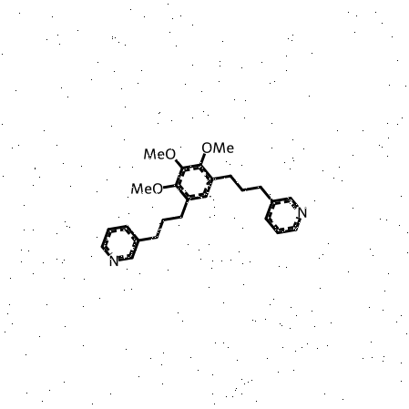 COc1c(CCCc2cccnc2)[c]c(CCCc2cccnc2)c(OC)c1OC